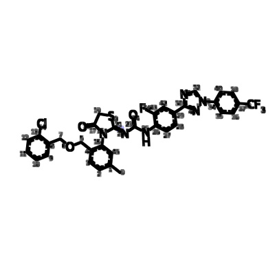 Cc1ccc(COCc2ccccc2Cl)c(N2C(=O)CS/C2=N\C(=O)Nc2ccc(-c3ncn(-c4ccc(C(F)(F)F)cc4)n3)cc2F)c1